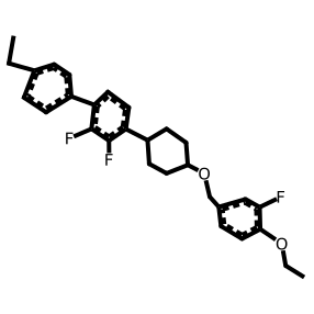 CCOc1ccc(COC2CCC(c3ccc(-c4ccc(CC)cc4)c(F)c3F)CC2)cc1F